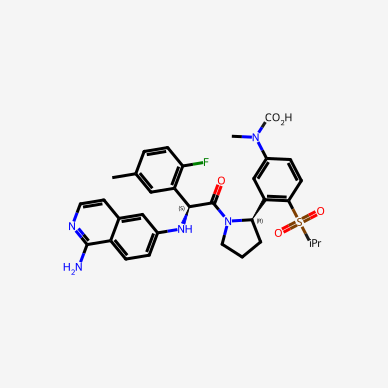 Cc1ccc(F)c([C@H](Nc2ccc3c(N)nccc3c2)C(=O)N2CCC[C@@H]2c2cc(N(C)C(=O)O)ccc2S(=O)(=O)C(C)C)c1